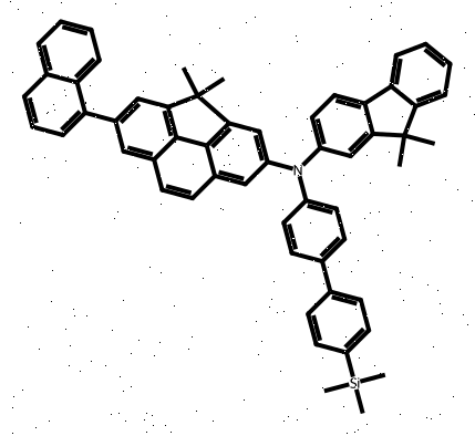 CC1(C)c2ccccc2-c2ccc(N(c3ccc(-c4ccc([Si](C)(C)C)cc4)cc3)c3cc4c5c(ccc6cc(-c7cccc8ccccc78)cc(c65)C4(C)C)c3)cc21